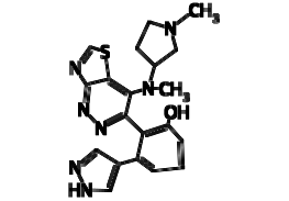 CN1CCC(N(C)c2c(-c3c(O)cccc3-c3cn[nH]c3)nnc3ncsc23)C1